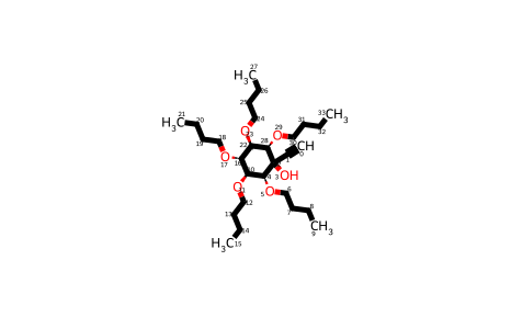 C#CC1(O)[C@H](OCCCC)[C@@H](OCCCC)[C@H](OCCCC)[C@@H](OCCCC)[C@@H]1OCCCC